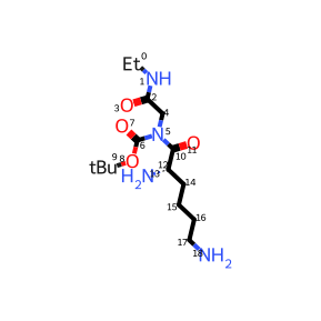 CCNC(=O)CN(C(=O)OC(C)(C)C)C(=O)[C@@H](N)CCCCN